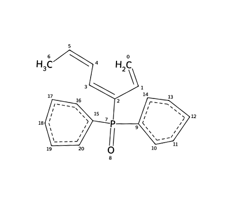 C=C/C(=C\C=C/C)P(=O)(c1ccccc1)c1ccccc1